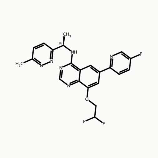 Cc1ccc([C@@H](C)Nc2ncnc3c(OCC(F)F)cc(-c4ccc(F)cn4)cc23)nn1